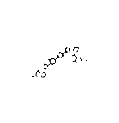 [CH2][C@H](C(=O)N1CCC[C@H]1c1ncc(-c2ccc(-c3ncc(-c4cnc([C@@H]5CCCN5C(=O)[C@@H](NC(=O)OC)C(C)C)[nH]4)cn3)cc2F)[nH]1)C(C)C